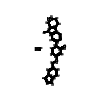 Cl.Cn1c2c(c3ccc(-n4ccc(OCc5ccc6nccn6c5)cc4=O)cc31)CCNC2